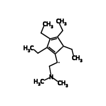 CCC1=C([CH]CN(C)C)C(CC)C(CC)=C1CC